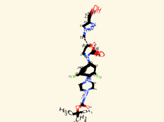 CC(C)(C)OC(=O)N1CCN(c2c(F)cc(N3C[C@H](Cn4cc(CO)nn4)OC3=O)cc2F)CC1